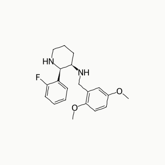 COc1ccc(OC)c(CN[C@@H]2CCCN[C@@H]2c2ccccc2F)c1